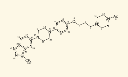 CC(=O)N1CCN(CCCOc2ccc(N3CCN(c4ccc5nnc(C(F)(F)F)n5n4)CC3)cc2)CC1